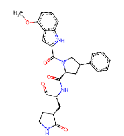 COc1cccc2[nH]c(C(=O)N3CC(c4ccccc4)C[C@H]3C(=O)N[C@H](C=O)C[C@@H]3CCNC3=O)cc12